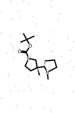 CN1CCC[C@H]1[C@]1(C)CCN(C(=O)OC(C)(C)C)C1